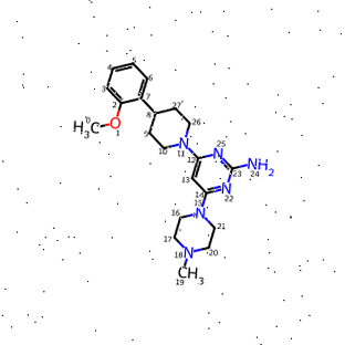 COc1ccccc1C1CCN(c2cc(N3CCN(C)CC3)nc(N)n2)CC1